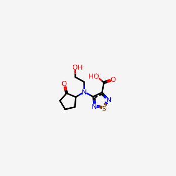 O=C(O)c1nsnc1N(CCO)C1CCCC1=O